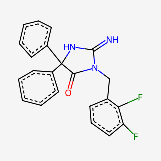 N=C1NC(c2ccccc2)(c2ccccc2)C(=O)N1Cc1cccc(F)c1F